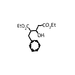 CCOC(=O)CC(O)C(Cc1ccccc1)C(=O)OCC